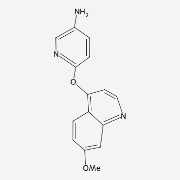 COc1ccc2c(Oc3ccc(N)cn3)ccnc2c1